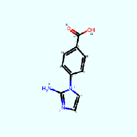 Nc1nccn1-c1ccc(C(=O)O)cc1